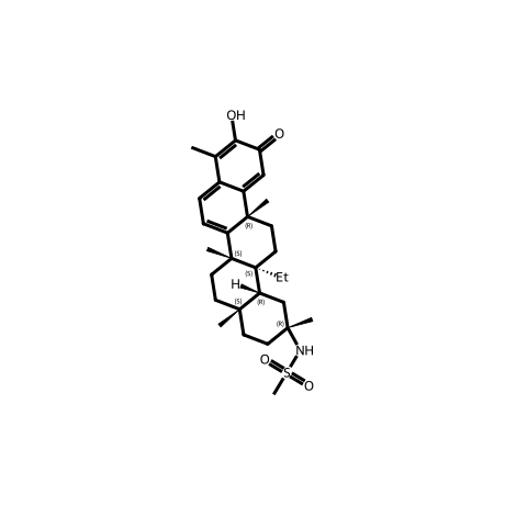 CC[C@@]12CC[C@@]3(C)C4=CC(=O)C(O)=C(C)C4=CC=C3[C@@]1(C)CC[C@@]1(C)CC[C@@](C)(NS(C)(=O)=O)C[C@H]12